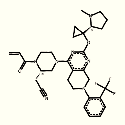 C=CC(=O)N1CCN(c2nc(OC3([C@@H]4CCCN4C)CC3)nc3c2CCN(c2ccccc2C(F)(F)F)C3)C[C@@H]1CC#N